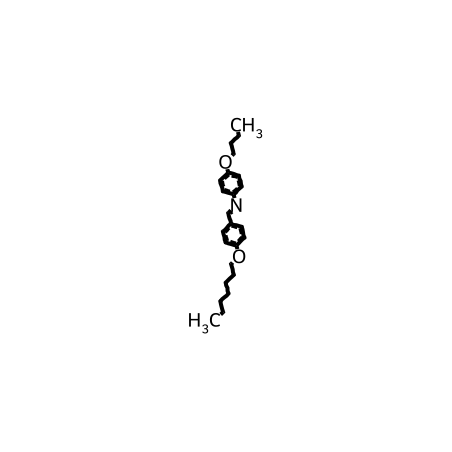 CCCCCCCOc1ccc(/C=N/c2ccc(OCCCC)cc2)cc1